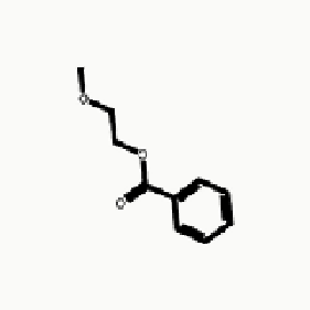 [CH2]OCCOC(=O)c1ccccc1